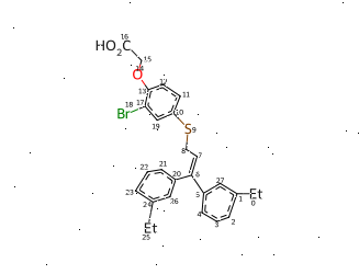 CCc1cccc(C(=CCSc2ccc(OCC(=O)O)c(Br)c2)c2cccc(CC)c2)c1